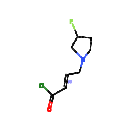 O=C(Cl)/C=C/CN1CCC(F)C1